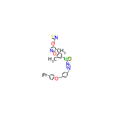 Cc1cc(C=CC(=O)N2CCN(Cc3ccc(CCOc4ccc(C(C)C)cc4)cc3)CC2)cc(C)c1Oc1ccc(OCc2cscn2)cn1.Cl